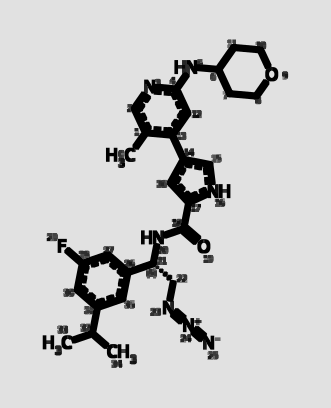 Cc1cnc(NC2CCOCC2)cc1-c1c[nH]c(C(=O)N[C@H](CN=[N+]=[N-])c2cc(F)cc(C(C)C)c2)c1